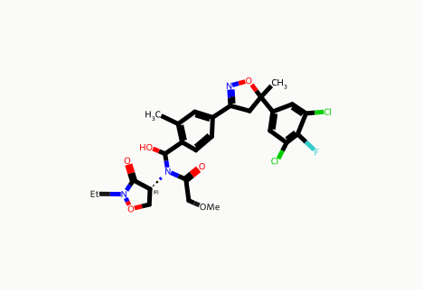 CCN1OC[C@@H](N(C(=O)COC)C(O)c2ccc(C3=NOC(C)(c4cc(Cl)c(F)c(Cl)c4)C3)cc2C)C1=O